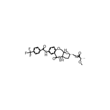 CO[C@@H](C)C(=O)NC[C@@H]1CC[C@H]2[C@H](COc3ccc(NC(=O)c4ccc(C(F)(F)F)cc4)cc3C(=O)N2C)O1